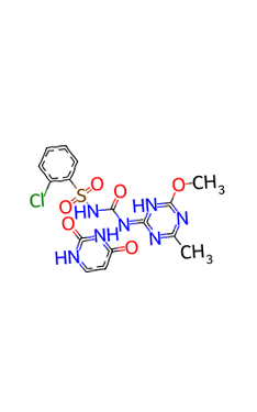 COc1nc(C)nc(=NC(=O)NS(=O)(=O)c2ccccc2Cl)[nH]1.O=c1cc[nH]c(=O)[nH]1